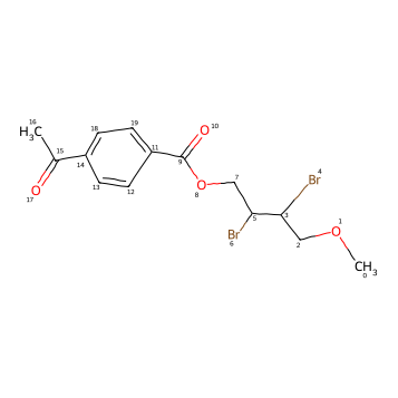 COCC(Br)C(Br)COC(=O)c1ccc(C(C)=O)cc1